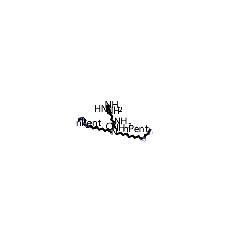 CCCCC/C=C\C/C=C\CCCCCCCCN(CCCCCCCC/C=C\C/C=C\CCCCC)NC(=O)[C@@H](N)CCCNC(=N)N